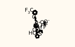 O=C(O[C@H]1C[N+]2(CCCOc3cccc(C(F)(F)F)c3)CCC1CC2)[C@](O)(c1cccs1)C1CCCC1.O=C([O-])C(F)(F)F